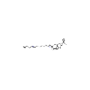 C=CCC/C=C/CCCCC/C=C/[C@H](O)CC(O)COC(C)=O